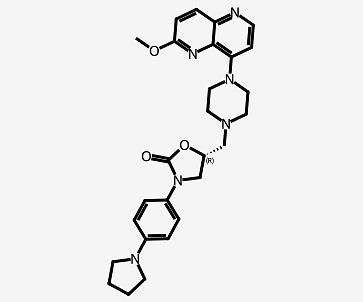 COc1ccc2nccc(N3CCN(C[C@@H]4CN(c5ccc(N6CCCC6)cc5)C(=O)O4)CC3)c2n1